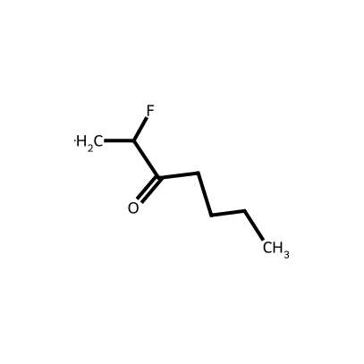 [CH2]C(F)C(=O)CCCC